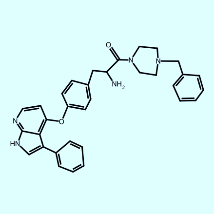 NC(Cc1ccc(Oc2ccnc3[nH]cc(-c4ccccc4)c23)cc1)C(=O)N1CCN(Cc2ccccc2)CC1